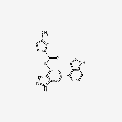 Cc1ccc(C(=O)Nc2cc(-c3cccc4[nH]ccc34)cc3[nH]ncc23)o1